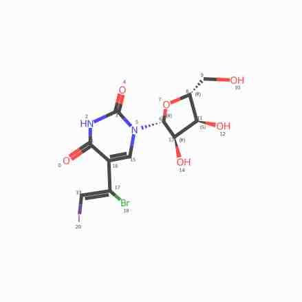 O=c1[nH]c(=O)n([C@@H]2O[C@H](CO)[C@@H](O)[C@H]2O)cc1C(Br)=CI